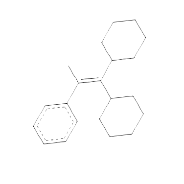 CC(=C(C1CCCCC1)C1CCCCC1)c1ccccc1